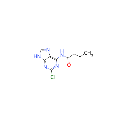 CCCC(=O)Nc1nc(Cl)nc2[nH]cnc12